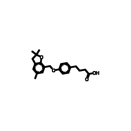 Cc1cc(COc2ccc(CCCC(=O)O)cc2)c2c(c1)CC(C)(C)O2